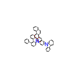 c1ccc(-c2ccccc2-c2c(-c3ccccc3)cccc2N(c2ccc(-n3c4ccccc4c4ccccc43)cc2)c2ccc3c(ccc4ccccc43)c2)cc1